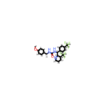 COc1ccc([C@@H](C)NC(=O)NC(c2ccc(C(F)(F)F)cc2)c2ncccc2C(F)(F)F)cc1